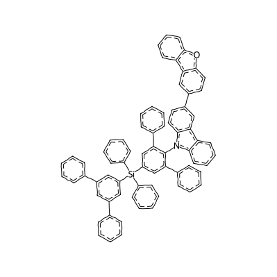 c1ccc(-c2cc(-c3ccccc3)cc([Si](c3ccccc3)(c3ccccc3)c3cc(-c4ccccc4)c(-n4c5ccccc5c5cc(-c6ccc7oc8ccccc8c7c6)ccc54)c(-c4ccccc4)c3)c2)cc1